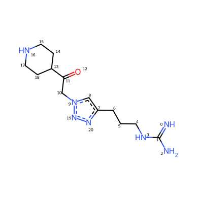 N=C(N)NCCCc1cn(CC(=O)C2CCNCC2)nn1